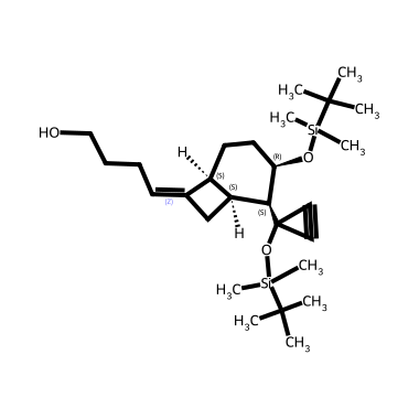 CC(C)(C)[Si](C)(C)O[C@@H]1CC[C@@H]2/C(=C\CCCO)C[C@@H]2[C@@H]1C1(O[Si](C)(C)C(C)(C)C)C#C1